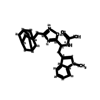 Cn1cc(CC(NC(=O)O)c2nc(CC34CC5CC(CC(C5)C3)C4)no2)c2ccccc21